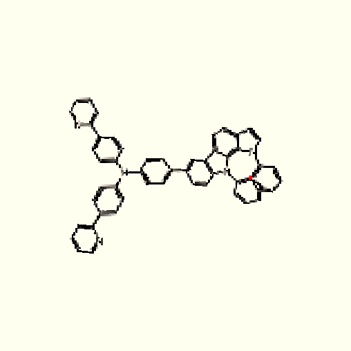 c1ccc(-n2ccc3ccc4c5cc(-c6ccc(N(c7ccc(-c8ccccn8)cc7)c7ccc(-c8ccccn8)cc7)cc6)ccc5n(-c5ccccc5)c4c32)cc1